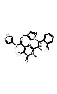 Cc1cnn([C@@H](c2ccccc2Cl)[C@@H](C)c2nc(C(=O)Nc3cnoc3)c(O)c(=O)n2C)c1